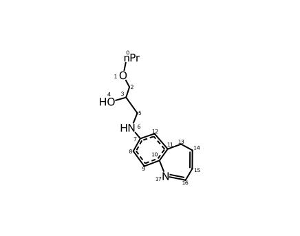 CCCOCC(O)CNc1ccc2c(c1)CC=CC=N2